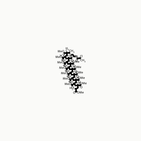 COC(=O)C(C)CC(C)(CC(C)(CC(C)(CC(C)(CC(C)(CC(C)(CC(C)(CC(C)(CC(C)(CC(C)(CC(C)(CC(C)(CC(C)(C(=O)OC)C(C)SCCOC(=O)C(C)Cl)C(=O)OC)C(=O)OC)C(=O)OC)C(=O)OC)C(=O)OC)C(=O)OC)C(=O)OC)C(=O)OC)C(=O)OC)C(=O)OC)C(=O)OC)C(=O)OC